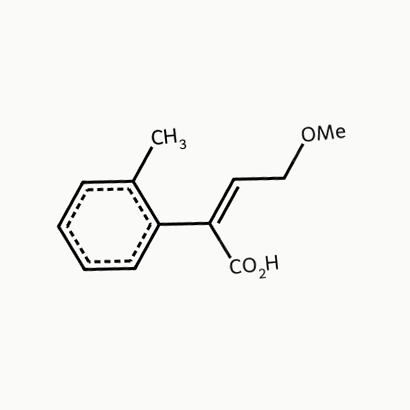 COCC=C(C(=O)O)c1ccccc1C